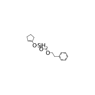 C1=C(O[SiH2]OCOCCc2ccccc2)CCC1